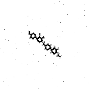 C=CC1CCC(c2ccc(OCC3CCC(c4ccc(OCC)c(F)c4F)CC3)c(F)c2F)CC1